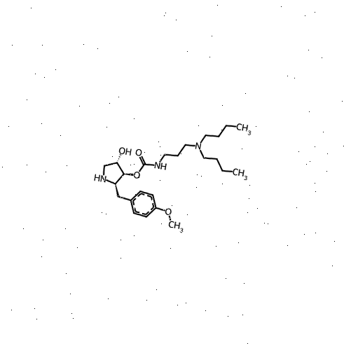 CCCCN(CCCC)CCCNC(=O)O[C@@H]1[C@@H](O)CN[C@@H]1Cc1ccc(OC)cc1